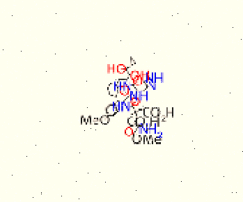 COC(=O)[C@@H](N)CCC(CC(=O)O)(CC(=O)O)C(=O)N[C@@H](Cc1ccc(OC)cc1)C(=O)N[C@@H](Cc1c[nH]cn1)C(=O)N[C@@H](CC1CCCCC1)[C@@H](O)[C@@H](O)C1CC1